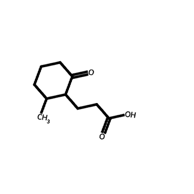 CC1CCCC(=O)C1CCC(=O)O